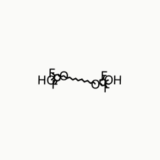 OC1=C(F)C=C(OCCCCCCCCCCOc2cc(F)c(O)c(F)c2)CC1F